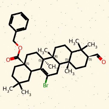 CC1(C)CC[C@]2(C(=O)OCc3ccccc3)CC[C@]3(C)C(=C(Br)CC4[C@@]5(C)CC[C@H](C=O)C(C)(C)C5CC[C@]43C)C2C1